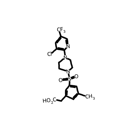 Cc1cc(CC(=O)O)cc(S(=O)(=O)N2CCN(c3ncc(C(F)(F)F)cc3Cl)CC2)c1